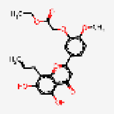 C=CCc1c(O)cc(O)c2c(=O)cc(-c3ccc(OC)c(OCC(=O)OCC)c3)oc12